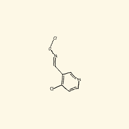 ClON=Cc1cnccc1Cl